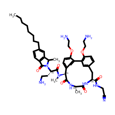 CCCCCCCCc1ccc2c(c1)C(C)N([C@@H](CCN)C(=O)N(C)[C@@H]1C(=O)N[C@@H](C)C(=O)N[C@H](C(=O)NCC#N)Cc3ccc(OCCN)c(c3)-c3cc1ccc3OCCN)C2=O